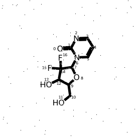 O=c1ncccn1C1OC(CO)C(O)C1(F)F